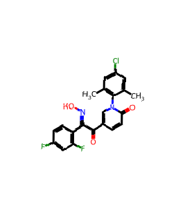 Cc1cc(Cl)cc(C)c1-n1cc(C(=O)C(=NO)c2ccc(F)cc2F)ccc1=O